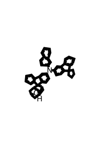 c1ccc2c(c1)-c1cc(N(c3ccc4c(c3)-c3ccccc3C43C4CCC5CC3C[C@@H](C5)C4)c3ccc4ccccc4c3)ccc1C21CCCC1